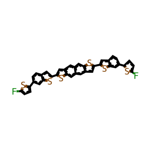 Fc1ccc(-c2ccc3cc(-c4cc5cc6cc7sc(-c8cc9ccc(-c%10ccc(F)s%10)cc9s8)cc7cc6cc5s4)sc3c2)s1